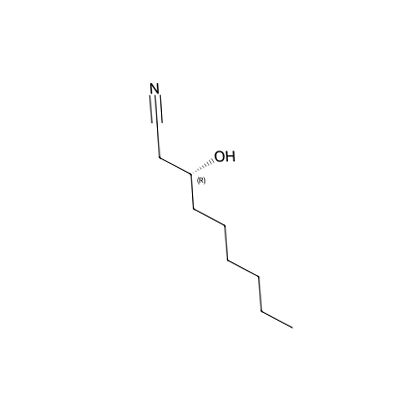 CCCCCC[C@@H](O)CC#N